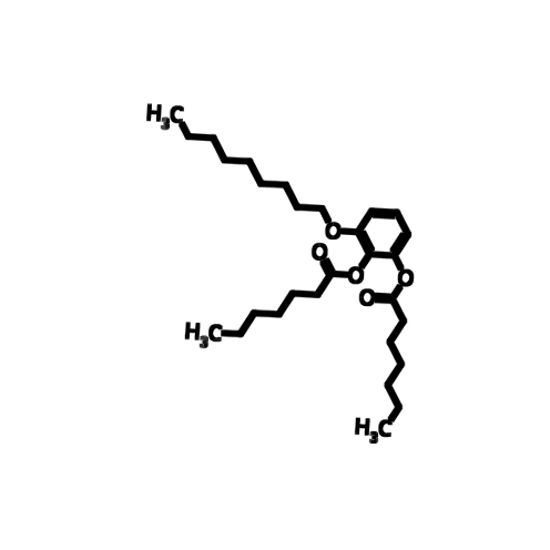 CCCCCCCCCOc1cccc(OC(=O)CCCCCC)c1OC(=O)CCCCCC